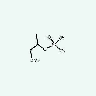 COCC(C)O[Si](O)(O)O